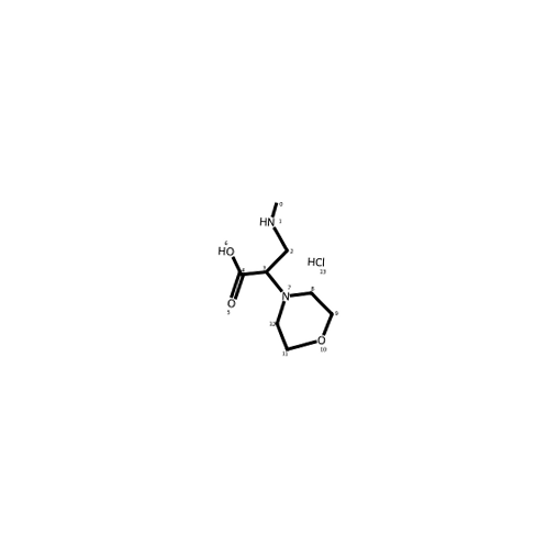 CNCC(C(=O)O)N1CCOCC1.Cl